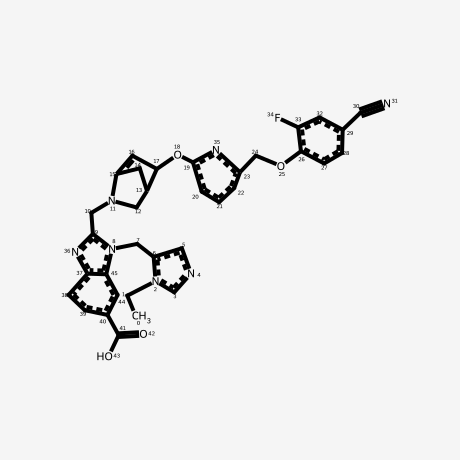 CCn1cncc1Cn1c(CN2CC3CC2=CC3Oc2cccc(COc3ccc(C#N)cc3F)n2)nc2ccc(C(=O)O)cc21